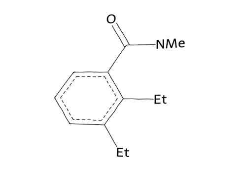 CCc1cccc(C(=O)NC)c1CC